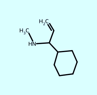 C=CC(NC)C1CCCCC1